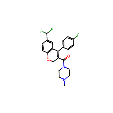 CN1CCN(C(=O)C2=C(c3ccc(F)cc3)c3cc(C(F)F)ccc3OC2)CC1